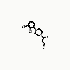 O=C(CCCl)N1CCN(c2cccc(Cl)c2Cl)CC1